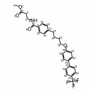 COC(=O)CCNC(=O)c1ccc(CCCCOc2ccc(-c3ccc(C(F)(F)F)cc3)cc2)cc1